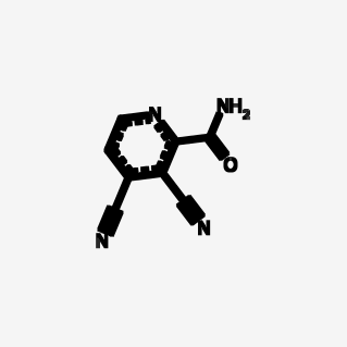 N#Cc1ccnc(C(N)=O)c1C#N